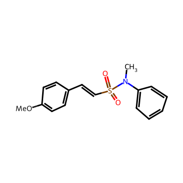 COc1ccc(C=CS(=O)(=O)N(C)c2ccccc2)cc1